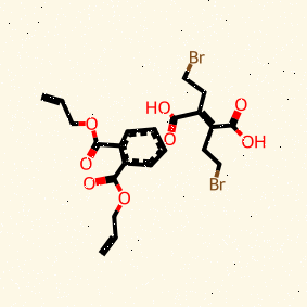 C=CCOC(=O)c1ccccc1C(=O)OCC=C.O=C(O)/C(CCBr)=C(\CCBr)C(=O)O